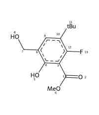 COC(=O)c1c(O)c(CO)cc(C(C)(C)C)c1F